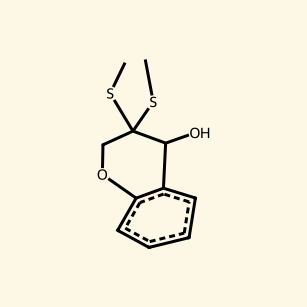 CSC1(SC)COc2ccccc2C1O